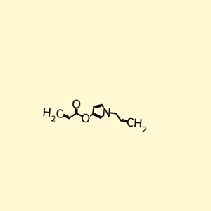 C=CCn1ccc(OC(=O)C=C)c1